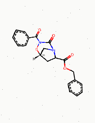 O=C(OCc1ccccc1)C1C[C@H]2CN1C(=O)N(C(=O)c1ccccc1)O2